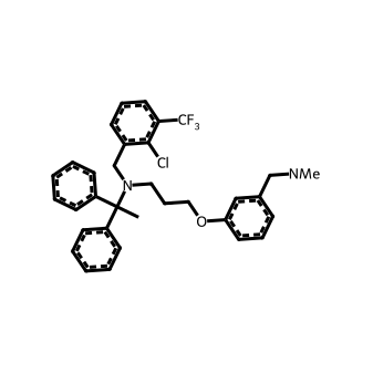 CNCc1cccc(OCCCN(Cc2cccc(C(F)(F)F)c2Cl)C(C)(c2ccccc2)c2ccccc2)c1